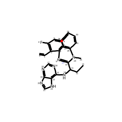 C=Cc1c(F)cccc1/N=C(/C(CC)Nc1ncnc2nc[nH]c12)N(C)c1ccccc1